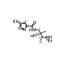 CCCC(C)(CNC(=O)c1cc(CC)on1)C(C)NCC